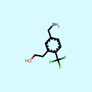 BCc1ccc(C(F)(F)F)c(CCO)c1